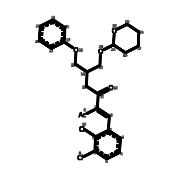 CC(=O)C(=Cc1cccc(Cl)c1Cl)C(=O)CC(COc1ccccc1)COC1CCCCO1